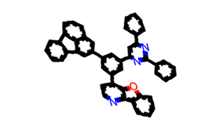 c1ccc(-c2cc(-c3cc(-c4cc5c6c(cccc6c4)-c4ccccc4-5)cc(-c4ccnc5c4oc4ccccc45)c3)nc(-c3ccccc3)n2)cc1